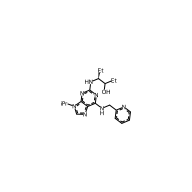 CCC(O)[C@H](CC)Nc1nc(NCc2ccccn2)c2ncn(C(C)C)c2n1